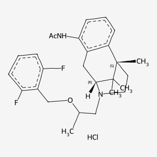 CC(=O)Nc1cccc2c1C[C@H]1N(CC(C)OCc3c(F)cccc3F)CC[C@]2(C)C1(C)C.Cl